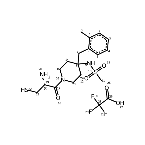 Cc1ccccc1CC1(NS(C)(=O)=O)CCN(C(=O)[C@@H](N)CS)CC1.O=C(O)C(F)(F)F